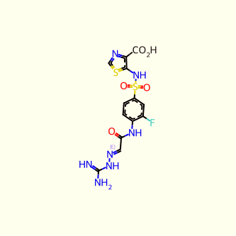 N=C(N)N/N=C/C(=O)Nc1ccc(S(=O)(=O)Nc2scnc2C(=O)O)cc1F